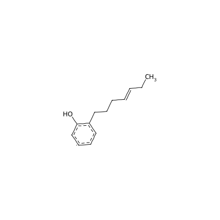 CCC=CCCCc1cc[c]cc1O